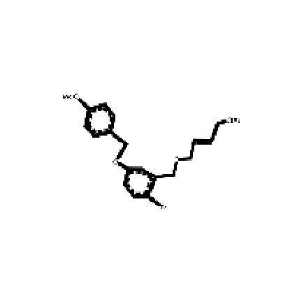 COc1ccc(COc2ccc(Br)c(COCC=CCOC(C)=O)c2)cc1